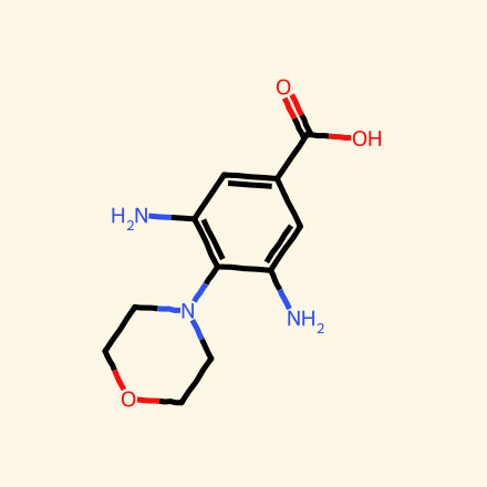 Nc1cc(C(=O)O)cc(N)c1N1CCOCC1